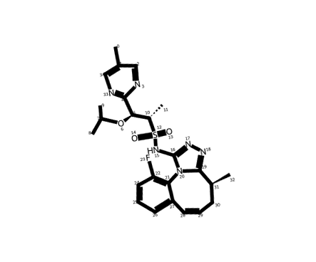 Cc1cnc([C@H](OC(C)C)[C@H](C)S(=O)(=O)Nc2nnc3n2-c2c(F)cccc2C=CC[C@@H]3C)nc1